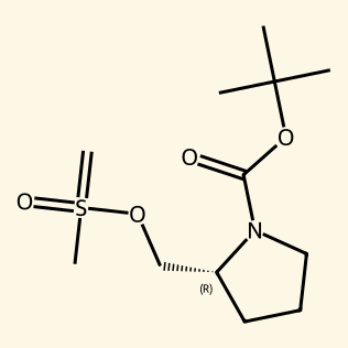 C=S(C)(=O)OC[C@H]1CCCN1C(=O)OC(C)(C)C